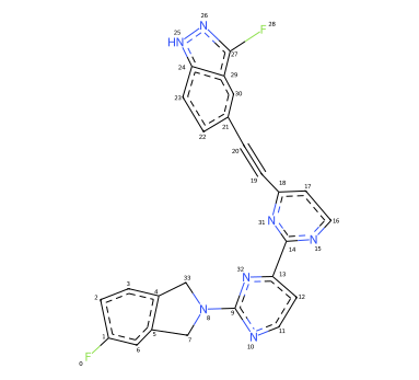 Fc1ccc2c(c1)CN(c1nccc(-c3nccc(C#Cc4ccc5[nH]nc(F)c5c4)n3)n1)C2